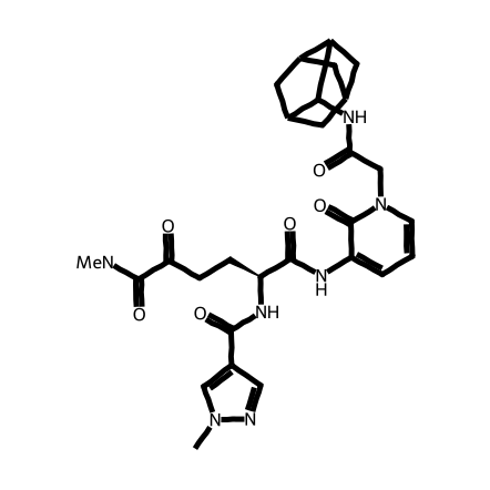 CNC(=O)C(=O)CC[C@H](NC(=O)c1cnn(C)c1)C(=O)Nc1cccn(CC(=O)NC2C3CC4CC(C3)C2C4)c1=O